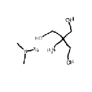 C[N](C)[Ta].NC(CO)(CO)CO